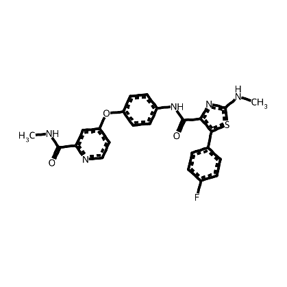 CNC(=O)c1cc(Oc2ccc(NC(=O)c3nc(NC)sc3-c3ccc(F)cc3)cc2)ccn1